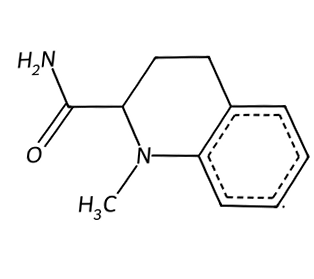 CN1c2c[c]ccc2CCC1C(N)=O